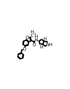 Cc1oc2ccc(OCc3ccccc3)cc2c1C(=O)N[C@@H]1C[C@H]2CNC[C@H]2C1